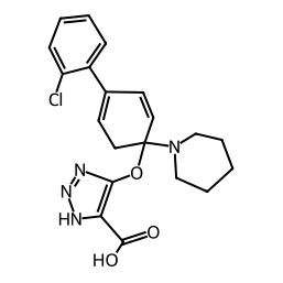 O=C(O)c1[nH]nnc1OC1(N2CCCCC2)C=CC(c2ccccc2Cl)=CC1